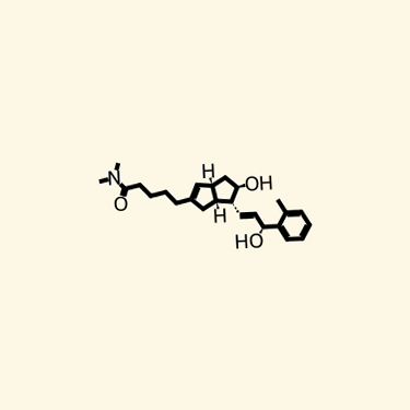 Cc1ccccc1[C@H](O)/C=C/[C@@H]1[C@H]2CC(CCCCC(=O)N(C)C)=C[C@H]2C[C@H]1O